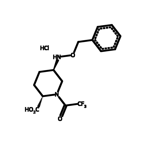 Cl.O=C(O)[C@@H]1CC[C@@H](NOCc2ccccc2)CN1C(=O)C(F)(F)F